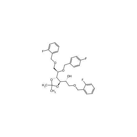 CC1(C)O[C@H]([C@H](O)COCc2ccccc2F)[C@@H]([C@@H](COCc2ccccc2F)OCc2ccc(F)cc2)O1